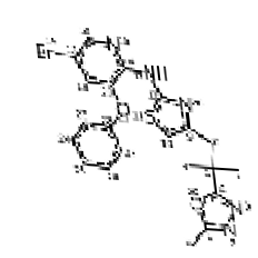 Cc1nnc(C(C)(C)Cc2csc(Nc3ncc(Br)cc3Oc3ccccc3)n2)o1